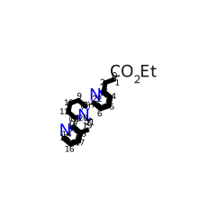 CCOC(=O)CCc1cccc([C@H]2CCC[C@@H](c3ncccc3C)N2C)n1